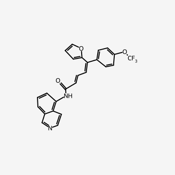 O=C(/C=C/C=C(/c1ccc(OC(F)(F)F)cc1)c1ccco1)Nc1cccc2cnccc12